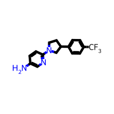 Nc1ccc(N2CCC(c3ccc(C(F)(F)F)cc3)C2)nc1